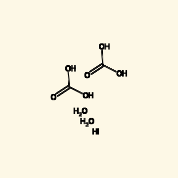 I.O.O.O=C(O)O.O=C(O)O